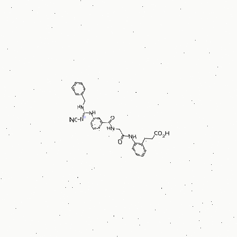 N#C/N=C(\NCc1ccccc1)Nc1cccc(C(=O)NCC(=O)Nc2ccccc2CCC(=O)O)c1